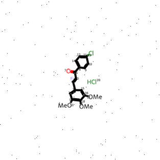 COc1cc(/C=C/C(=O)c2ccc(Cl)cc2)cc(OC)c1OC.Cl